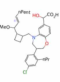 CCCCC/C=C/C(OC)C1CCC1CN1CC(c2ccc(Cl)cc2CCC)COc2ccc(C(O)C(=O)O)cc21